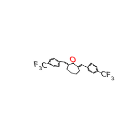 O=C1C(=Cc2ccc(C(F)(F)F)cc2)CCCCC1=Cc1ccc(C(F)(F)F)cc1